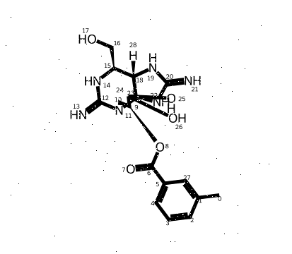 Cc1cccc(C(=O)O[C@H]2CN3C(=N)N[C@@H](CO)[C@@H]4NC(=N)N[C@@]43C2(O)O)c1